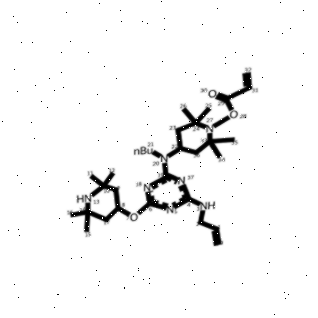 C=CCNc1nc(OC2CC(C)(C)NC(C)(C)C2)nc(N(CCCC)C2CC(C)(C)N(OC(=O)C=C)C(C)(C)C2)n1